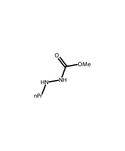 CCCNNC(=O)OC